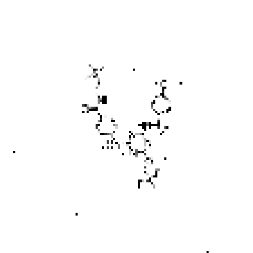 CC(F)(F)COc1nc(Nc2ccc(C(=O)NCCS(C)(C)C)cc2)nc(NC2(c3ccc(Cl)cc3)CC2)n1